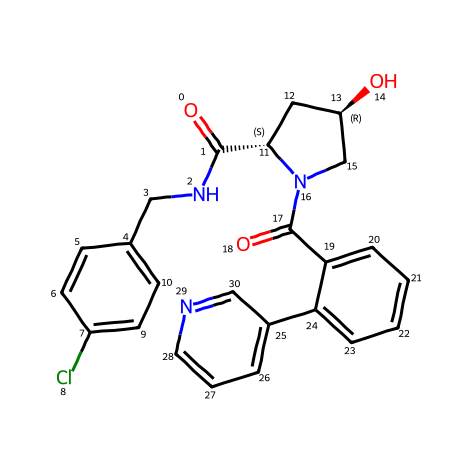 O=C(NCc1ccc(Cl)cc1)[C@@H]1C[C@@H](O)CN1C(=O)c1ccccc1-c1cccnc1